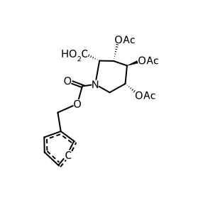 CC(=O)O[C@@H]1[C@@H](OC(C)=O)[C@H](OC(C)=O)CN(C(=O)OCc2ccccc2)[C@@H]1C(=O)O